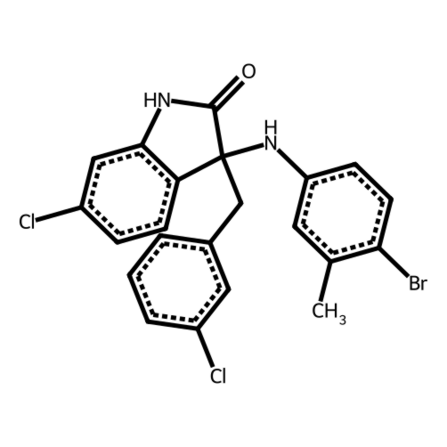 Cc1cc(NC2(Cc3cccc(Cl)c3)C(=O)Nc3cc(Cl)ccc32)ccc1Br